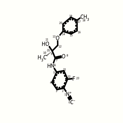 [C-]#[N+]c1ccc(NC(=O)[C@@](C)(O)COc2ccc(C)cc2)cc1F